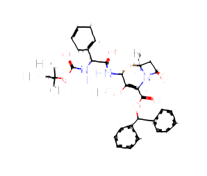 COC1=C(C(=O)OC(c2ccccc2)c2ccccc2)N2C(=O)C[C@H]2SC1NC(=O)C(NC(=O)OC(C)(C)C)C1=CCC=CC1